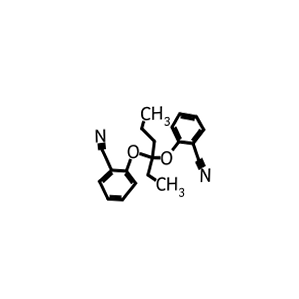 CCCC(CC)(Oc1ccccc1C#N)Oc1ccccc1C#N